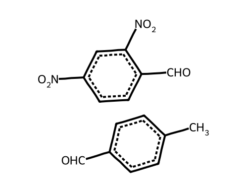 Cc1ccc(C=O)cc1.O=Cc1ccc([N+](=O)[O-])cc1[N+](=O)[O-]